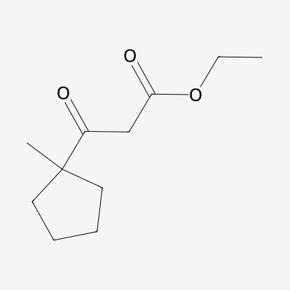 CCOC(=O)CC(=O)C1(C)CCCC1